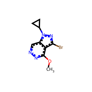 COc1nncc2c1c(Br)nn2C1CC1